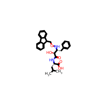 CC(C)C[C@H](NC(=O)[C@@H](O)[C@@H](Cc1ccccc1)NOCC1c2ccccc2-c2ccccc21)C(=O)O